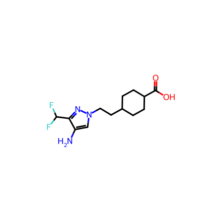 Nc1cn(CCC2CCC(C(=O)O)CC2)nc1C(F)F